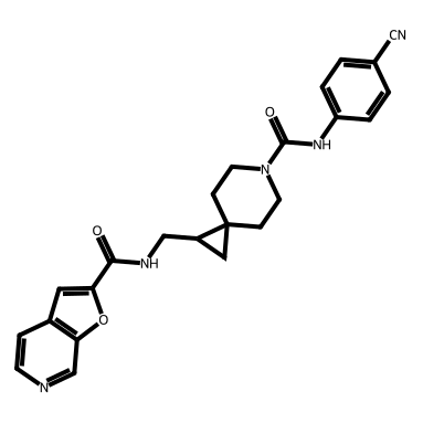 N#Cc1ccc(NC(=O)N2CCC3(CC2)CC3CNC(=O)c2cc3ccncc3o2)cc1